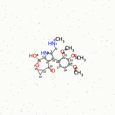 CNCc1[nH]c(C(=O)O)c(C(=O)C2CC2)c1-c1ccc(OC)c(OC)c1OC